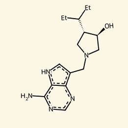 CCC(CC)[C@H]1CN(Cc2c[nH]c3c(N)ncnc23)C[C@@H]1O